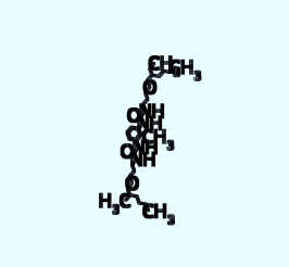 CCCCC(C)COCCCNC(=O)Nc1cccc(NC(=O)NCCCOCC(CC)CCCC)c1C